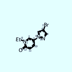 CCn1cc(-n2cc(Br)cn2)ccc1=O